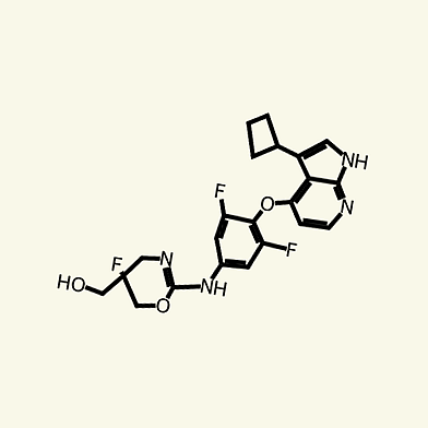 OC[C@]1(F)CN=C(Nc2cc(F)c(Oc3ccnc4[nH]cc(C5CCC5)c34)c(F)c2)OC1